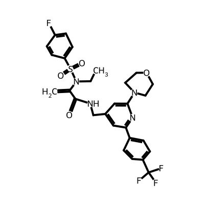 C=C(C(=O)NCc1cc(-c2ccc(C(F)(F)F)cc2)nc(N2CCOCC2)c1)N(CC)S(=O)(=O)c1ccc(F)cc1